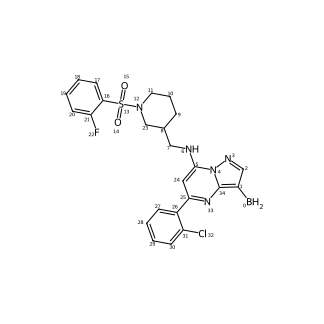 Bc1cnn2c(NCC3CCCN(S(=O)(=O)c4ccccc4F)C3)cc(-c3ccccc3Cl)nc12